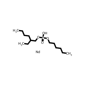 CCCCCCOP(=O)(O)OCC(CC)CCCC.[Nd]